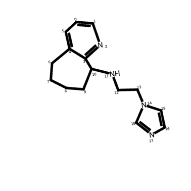 c1cnc2c(c1)CCCCC2NCCn1ccnc1